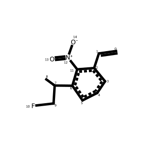 C=Cc1cccc([C](C)CF)c1[N+](=O)[O-]